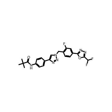 CC(C)(C)C(=O)Nc1ccc(-c2cn(Cc3ccc(-c4nnc(C(F)F)o4)cc3F)nn2)cc1